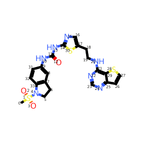 CS(=O)(=O)N1CCc2cc(NC(=O)Nc3ncc(CCNc4ncnc5ccsc45)s3)ccc21